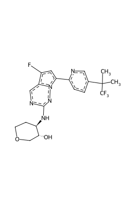 CC(C)(c1ccc(-c2cc(F)c3cnc(N[C@@H]4CCOC[C@H]4O)nn23)nc1)C(F)(F)F